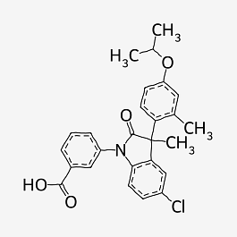 Cc1cc(OC(C)C)ccc1C1(C)C(=O)N(c2cccc(C(=O)O)c2)c2ccc(Cl)cc21